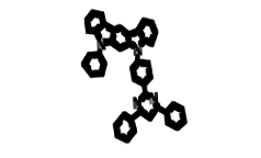 c1ccc(-c2cc(-c3ccccc3)nc(-c3ccc(-n4c5ccccc5c5cc6c7ccccc7n(-c7ccccc7)c6cc54)cc3)n2)cc1